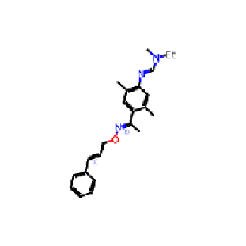 CCN(C)C=Nc1cc(C)c(/C(C)=N/OC/C=C/c2ccccc2)cc1C